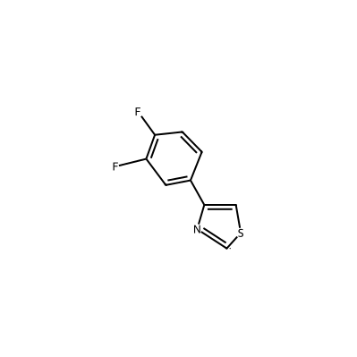 Fc1ccc(-c2cs[c]n2)cc1F